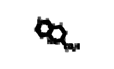 O=C(O)C1CCc2cnccc2N1